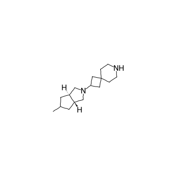 CC1C[C@H]2CN(C3CC4(CCNCC4)C3)C[C@@H]2C1